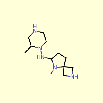 CC1CNCCN1NC1CCC2(CNC2)N1I